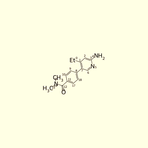 CCc1cc(N)ncc1-c1ccc(C(=O)N(C)C)cc1